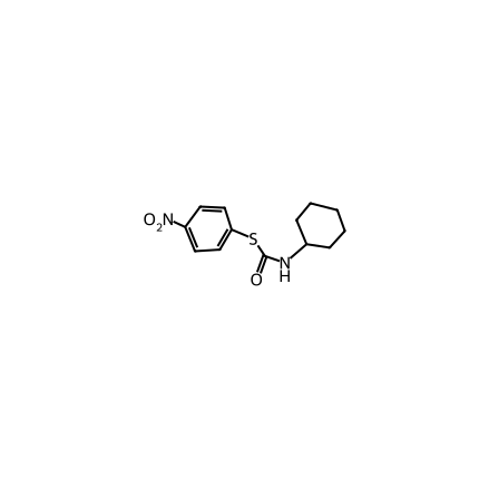 O=C(NC1CCCCC1)Sc1ccc([N+](=O)[O-])cc1